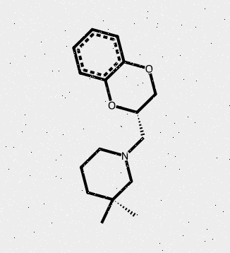 [CH2][C@]1(C)CCCN(C[C@H]2COc3ccccc3O2)C1